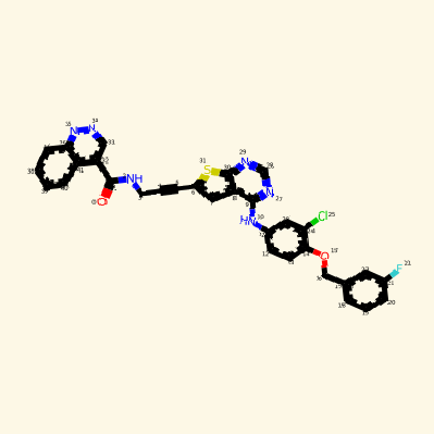 O=C(NCC#Cc1cc2c(Nc3ccc(OCc4cccc(F)c4)c(Cl)c3)ncnc2s1)c1cnnc2ccccc12